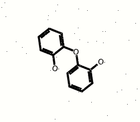 [O]c1ccccc1Oc1ccccc1[O]